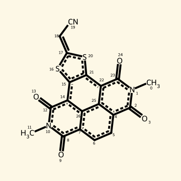 Cn1c(=O)c2ccc3c(=O)n(C)c(=O)c4c5sc(=CC#N)sc5c(c1=O)c2c34